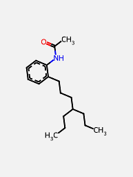 CCCC(CCC)CCCc1ccccc1NC(C)=O